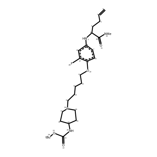 C=CCCC(Nc1ccc(OCCCCCN2CCC(NC(=O)OC(C)(C)C)CC2)c(F)c1)C(=O)NC